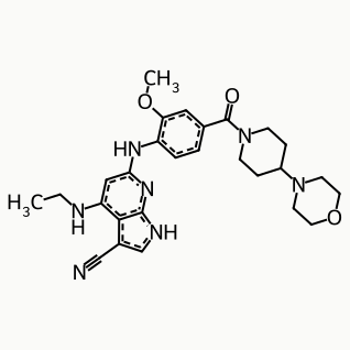 CCNc1cc(Nc2ccc(C(=O)N3CCC(N4CCOCC4)CC3)cc2OC)nc2[nH]cc(C#N)c12